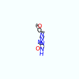 C[C@@H]1Cc2ccc([C@@H](C)N3CCN(c4ncc5c(n4)CCNC5=O)CC3)cc2O1